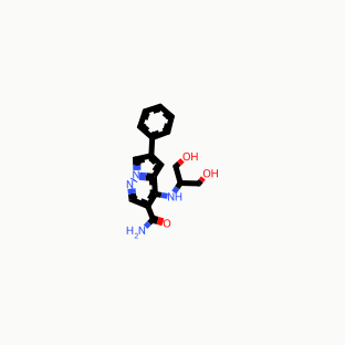 NC(=O)c1cnn2cc(-c3ccccc3)cc2c1NC(CO)CO